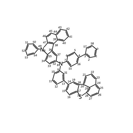 c1ccc(-c2ccc(N(c3cccc(-c4ccc5c(c4)-c4cccc6cccc(c46)S5)c3)c3ccc4c(c3)c3c5ccccc5ccc3n4-c3ccccc3)cc2)cc1